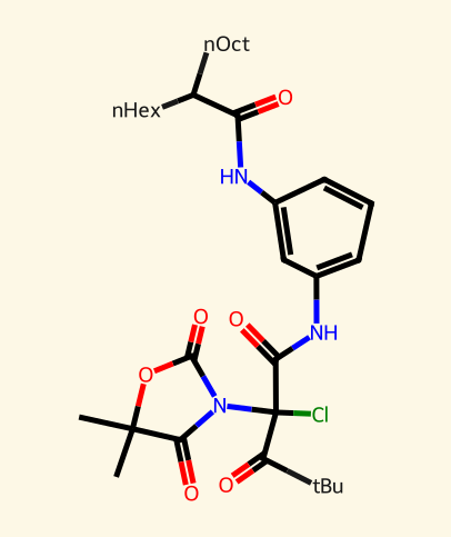 CCCCCCCCC(CCCCCC)C(=O)Nc1cccc(NC(=O)C(Cl)(C(=O)C(C)(C)C)N2C(=O)OC(C)(C)C2=O)c1